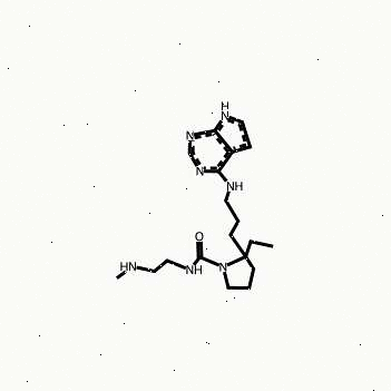 CCC1(CCCNc2ncnc3[nH]ccc23)CCCN1C(=O)NCCNC